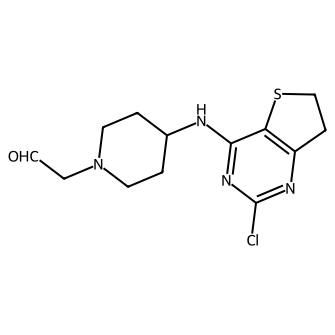 O=CCN1CCC(Nc2nc(Cl)nc3c2SCC3)CC1